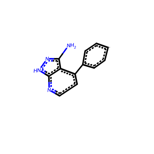 Nc1n[nH]c2nccc(-c3cc[c]cc3)c12